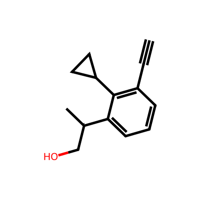 C#Cc1cccc([C](C)CO)c1C1CC1